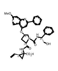 C=C[C@@H]1C[C@]1(NC(=O)[C@@H]1C[C@@H](Oc2cc(-c3ccccc3)nc3cc(OC)ccc23)CN1C(=O)N[C@@H](CO)c1ccccc1)C(=O)O